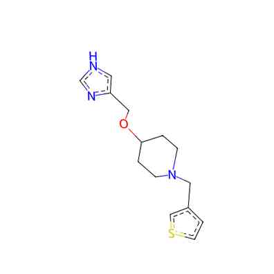 c1nc(COC2CCN(Cc3ccsc3)CC2)c[nH]1